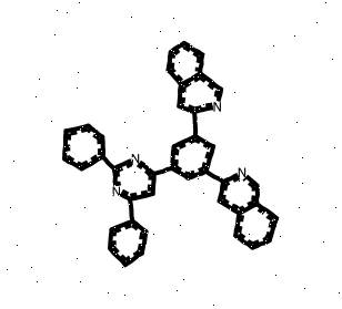 c1ccc(-c2cc(-c3cc(-c4cc5ccccc5cn4)cc(-c4cc5ccccc5cn4)c3)nc(-c3ccccc3)n2)cc1